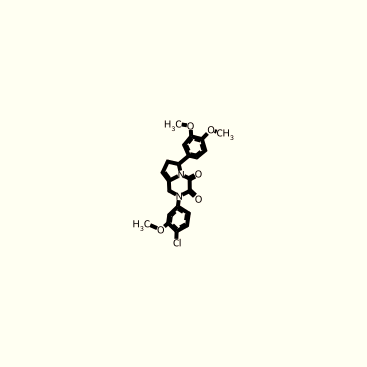 COc1cc(N2CC3=CCC(c4ccc(OC)c(OC)c4)N3C(=O)C2=O)ccc1Cl